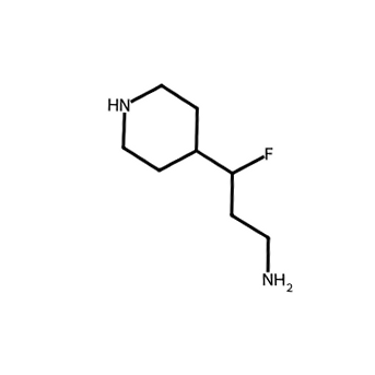 NCCC(F)C1CCNCC1